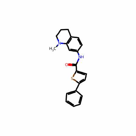 CN1CCCc2ccc(NC(=O)c3ccc(-c4ccccc4)s3)cc21